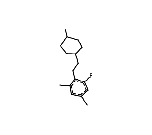 Cc1cc(C)c(CCC2CCC(C)CC2)c(F)c1